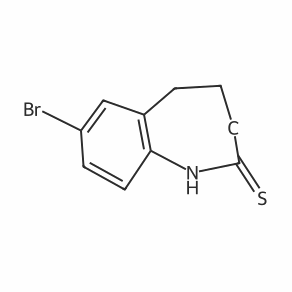 S=C1CCCc2cc(Br)ccc2N1